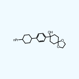 CCCC1CCC(c2ccc(C3(O)CCC4(CC3)OCCO4)cc2)CC1